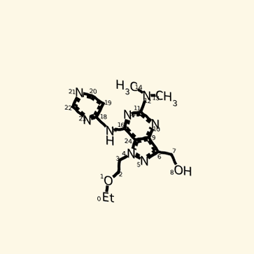 CCOCCn1nc(CO)c2nc(N(C)C)nc(Nc3ccncn3)c21